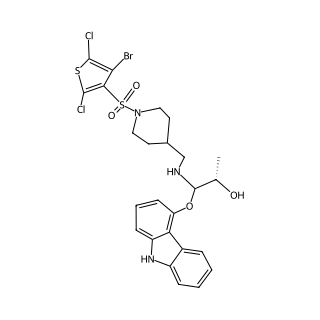 C[C@H](O)C(NCC1CCN(S(=O)(=O)c2c(Cl)sc(Cl)c2Br)CC1)Oc1cccc2[nH]c3ccccc3c12